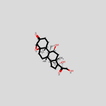 C[C@]12C[C@H](O)[C@H]3[C@@H](CCC45OC4C(=O)CC[C@]35C)[C@@H]1CC[C@]2(O)C(=O)CO